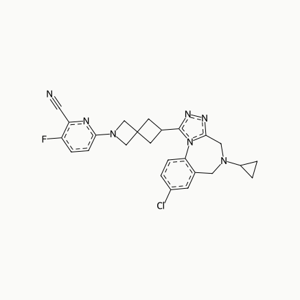 N#Cc1nc(N2CC3(CC(c4nnc5n4-c4ccc(Cl)cc4CN(C4CC4)C5)C3)C2)ccc1F